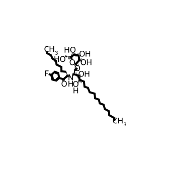 CCCCCCCCCCCCCC[C@@H](O)[C@@H](O)[C@H](CO[C@H]1O[C@H](CO)[C@H](O)[C@H](O)[C@H]1O)N[C@@H](CCCCCCCCC)C(=O)c1ccc(F)cc1